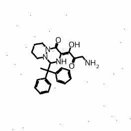 CC(c1ccccc1)(c1ccccc1)C1N/C(=C(/O)C(=O)CN)C(=O)N2CCCCN12